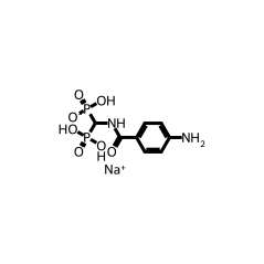 Nc1ccc(C(=O)NC(P(=O)([O-])O)P(=O)(O)O)cc1.[Na+]